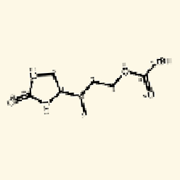 CC(CCOC(=O)C(C)(C)C)C1COC(=O)O1